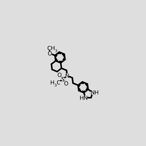 COc1cccc2c1CCCC2CN(CCc1ccc2c(c1)NCN2)S(C)(=O)=O